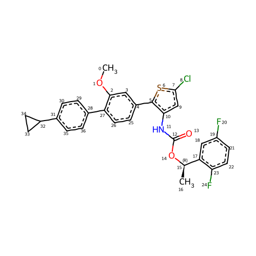 COc1cc(-c2sc(Cl)cc2NC(=O)O[C@H](C)c2cc(F)ccc2F)ccc1-c1ccc(C2CC2)cc1